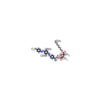 CCCCCCCCCCCCCCCCCCOC(=O)C(C)(CC)CC(C)(C)C(=O)OCCN(CC)c1ccc(/N=N/c2cc(OC)c(/N=N/c3ccc([N+](=O)[O-])cc3)cc2OC)cc1